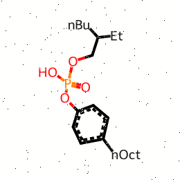 CCCCCCCCc1ccc(OP(=O)(O)OCC(CC)CCCC)cc1